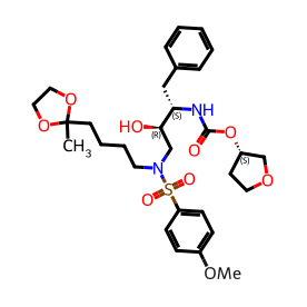 COc1ccc(S(=O)(=O)N(CCCCC2(C)OCCO2)C[C@@H](O)[C@H](Cc2ccccc2)NC(=O)O[C@H]2CCOC2)cc1